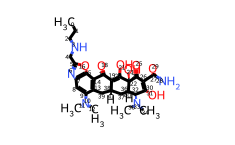 CCCNCc1nc2cc(N(C)C)c3c(c2o1)C(=O)C1=C(O)[C@]2(O)C(=O)C(C(N)=O)=C(O)[C@@H](N(C)C)[C@@H]2C[C@@H]1C3